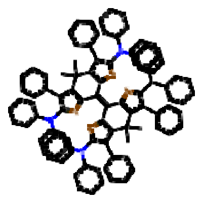 CC1(C)c2c(sc(C(c3ccccc3)c3ccccc3)c2-c2ccccc2)C(=C2c3sc(N(c4ccccc4)c4ccccc4)c(-c4ccccc4)c3C(C)(C)c3c2sc(N(c2ccccc2)c2ccccc2)c3-c2ccccc2)c2sc(N(c3ccccc3)c3ccccc3)c(-c3ccccc3)c21